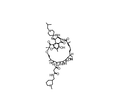 C/C1=C/C=C/[C@H](C)[C@H](O)[C@@H](C)[C@@H](O)[C@@H](C)[C@H](OC(=O)CC(=O)NCC2CCCN(C)C2)[C@H](C)[C@@H](C)/C=C/O[C@@]2(C)Oc3c(C)c(O)c4c(c3C2=O)C2=NC3(CCN(CC(C)C)CC3)NC2=C(NC1=O)C4=O